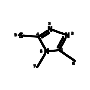 Cc1nnc([S])n1C